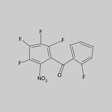 O=C(c1ccccc1F)c1c(F)c(F)c(F)c(F)c1[N+](=O)[O-]